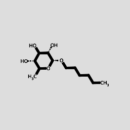 CCCCCCO[C@@H]1OC(C)[C@H](O)C(O)[C@@H]1O